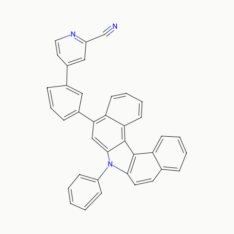 N#Cc1cc(-c2cccc(-c3cc4c(c5ccccc35)c3c5ccccc5ccc3n4-c3ccccc3)c2)ccn1